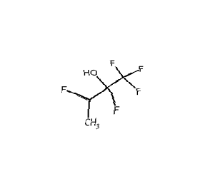 CC(F)C(O)(F)C(F)(F)F